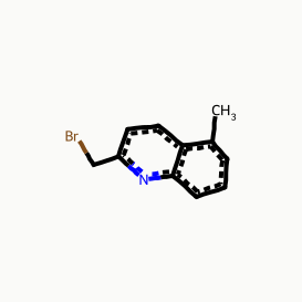 Cc1cccc2nc(CBr)ccc12